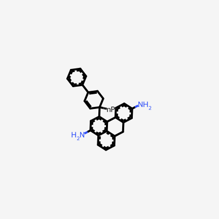 CCCC1(c2cc(N)c3cccc4c3c2-c2ccc(N)cc2C4)C=CC(c2ccccc2)=CC1